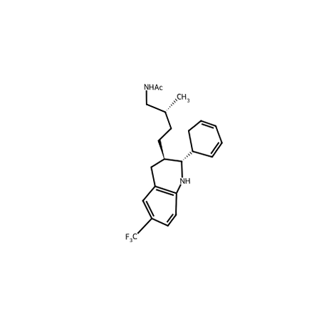 CC(=O)NC[C@H](C)CC[C@@H]1Cc2cc(C(F)(F)F)ccc2N[C@H]1C1C=CC=CC1